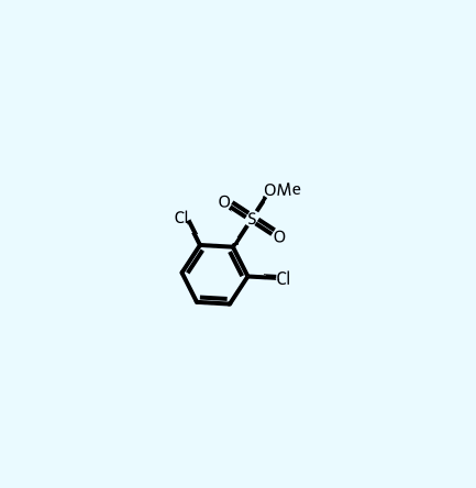 [CH2]OS(=O)(=O)c1c(Cl)cccc1Cl